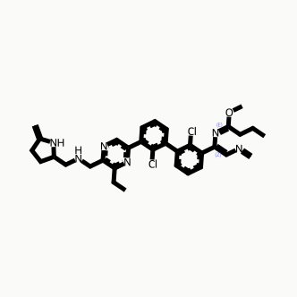 C=N/C=C(\N=C(/CCC)OC)c1cccc(-c2cccc(-c3cnc(CNCC4CCC(=C)N4)c(CC)n3)c2Cl)c1Cl